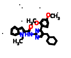 CCn1c(C(=O)Nc2ncc(CC3CCCCC3)c(-c3ccc(OC)cc3OC)n2)cc2ccccc21